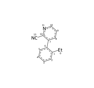 CCc1ccccc1-c1cccnc1C#N